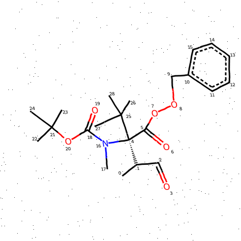 CC(C=O)[C@](C(=O)OOCc1ccccc1)(N(C)C(=O)OC(C)(C)C)C(C)(C)C